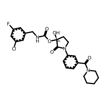 O=C(NCc1cc(F)cc(Cl)c1)O[C@]1(O)CCN(c2cccc(C(=O)N3CCCCC3)c2)C1=O